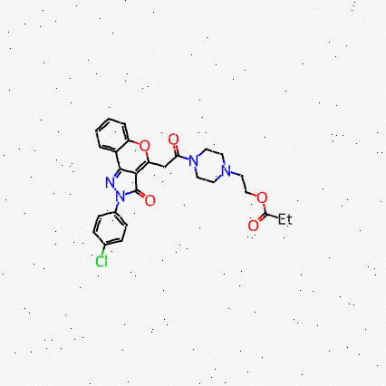 CCC(=O)OCCN1CCN(C(=O)Cc2oc3ccccc3c3nn(-c4ccc(Cl)cc4)c(=O)c2-3)CC1